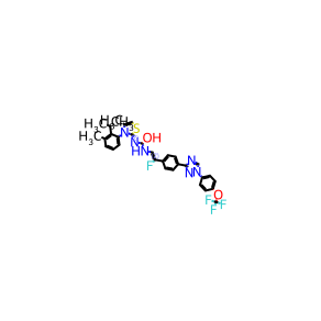 Cc1cccc(-n2c(C)cs/c2=N\C(O)N/C=C(\F)c2ccc(-c3ncn(-c4ccc(OC(F)(F)F)cc4)n3)cc2)c1C(C)C